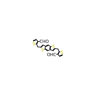 O=Cc1ccsc1Cc1cc2cc3sc(Cc4sccc4C=O)cc3cc2s1